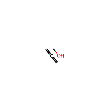 C=C=C.CO